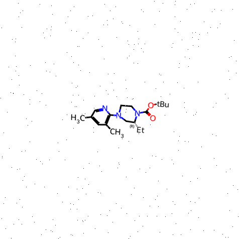 CC[C@@H]1CN(c2ncc(C)cc2C)CCN1C(=O)OC(C)(C)C